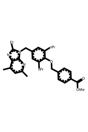 CCCc1cc(Cn2c(CC)nc3c(C)cc(C)nc32)cc(CCC)c1OCc1ccc(C(=O)OC)cc1